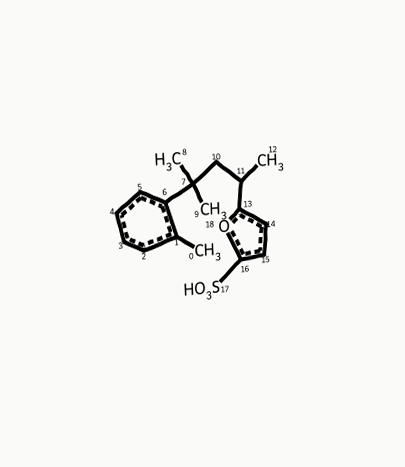 Cc1ccccc1C(C)(C)CC(C)c1ccc(S(=O)(=O)O)o1